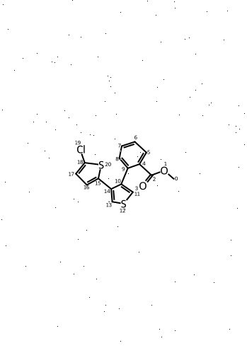 COC(=O)c1ccccc1-c1cs[c]c1-c1ccc(Cl)s1